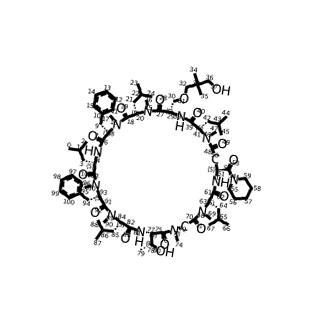 CC(C)C[C@@H]1NC(=O)[C@H](Cc2ccccc2)N(C)C(=O)[C@H](CC(C)C)N(C)C(=O)[C@H](COCC(C)(C)CO)NC(=O)[C@H](CC(C)C)N(C)C(=O)C[C@@H](C(=O)N2CCCCC2)NC(=O)[C@H](CC(C)C)N(C)C(=O)CN(C)C(=O)[C@H]([C@@H](C)O)NC(=O)[C@H](CC(C)C)N(C)C(=O)[C@H](Cc2ccccc2)N(C)C1=O